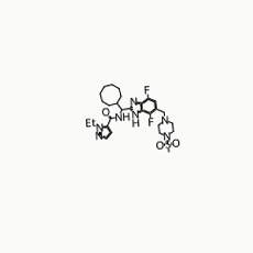 CCn1nccc1C(=O)NC(c1nc2c(F)cc(CN3CCN(S(C)(=O)=O)CC3)c(F)c2[nH]1)C1CCCCCCC1